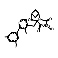 COC(=O)C1(Cc2ccnc(-c3cc(F)cc(F)c3)c2F)C(=O)C2CC(C2)N1C(=O)OC(C)(C)C